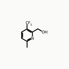 Cc1ccc(C(F)(F)F)c(CO)n1